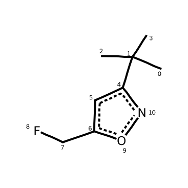 CC(C)(C)c1cc(CF)on1